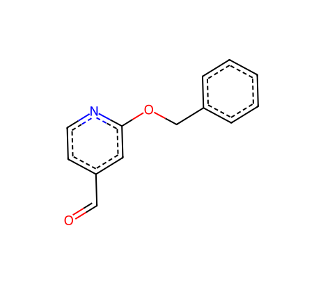 O=Cc1ccnc(OCc2ccccc2)c1